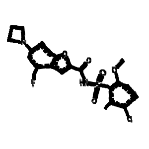 COc1ccc(Cl)c(C)c1S(=O)(=O)NC(=O)c1cc2c(F)cc(N3CCC3)cc2o1